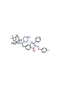 C[C@H]1[C@@H](NC(=Nc2ccc3c(=O)n(CCc4ccc(F)cc4)c(-c4ccccc4)nc3c2)N2CCN[C@@H](C)C2)C[C@@H]2C[C@@H]1C2(C)C